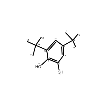 CC(C)(C)c1cc(S)c(O)c(C(C)(C)C)c1